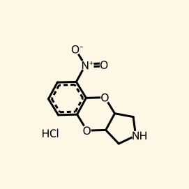 Cl.O=[N+]([O-])c1cccc2c1OC1CNCC1O2